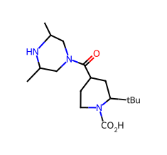 CC1CN(C(=O)C2CCN(C(=O)O)C(C(C)(C)C)C2)CC(C)N1